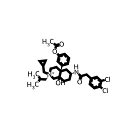 CC(=O)Oc1cccc([C@]23CC[N@+](CC(C)C)(CC4CC4)CC2(O)CC[C@@H](NC(=O)Cc2ccc(Cl)c(Cl)c2)C3)c1